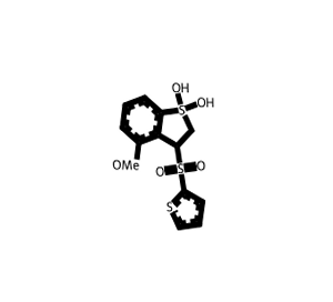 COc1cccc2c1C(S(=O)(=O)c1cccs1)CS2(O)O